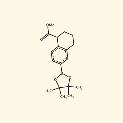 COC(=O)C1CCCc2cc(B3OC(C)(C)C(C)(C)O3)ccc21